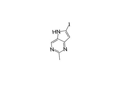 Cc1ncc2[nH]c(I)cc2n1